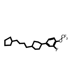 Fc1cc(C2CCC(CCCCC3CCCC3)CC2)ccc1OC(F)(F)F